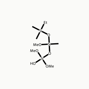 CC[Si](C)(C)O[Si](C)(OC)O[Si](O)(OC)OC